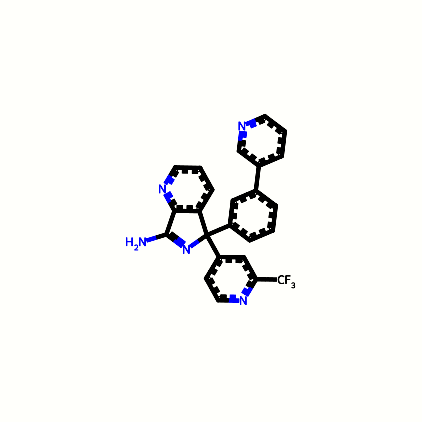 NC1=NC(c2cccc(-c3cccnc3)c2)(c2ccnc(C(F)(F)F)c2)c2cccnc21